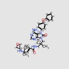 CC(C)(CNC(=O)/C(C#N)=C/C(C)(C)NC1COC1)Cn1c(=O)n(-c2ccc(Oc3ccccc3)cc2)c2c(N)ncnc21